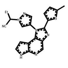 CCC(C#N)n1cc(-n2c(-c3ccc(C)s3)nc3cnc4[nH]ccc4c32)cn1